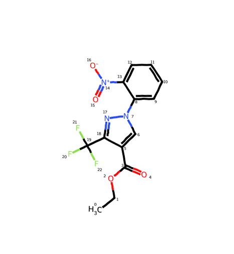 CCOC(=O)c1cn(-c2ccccc2[N+](=O)[O-])nc1C(F)(F)F